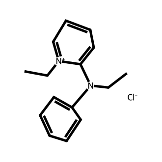 CCN(c1ccccc1)c1cccc[n+]1CC.[Cl-]